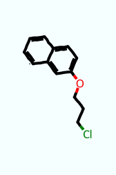 ClCCCOc1ccc2ccc[c]c2c1